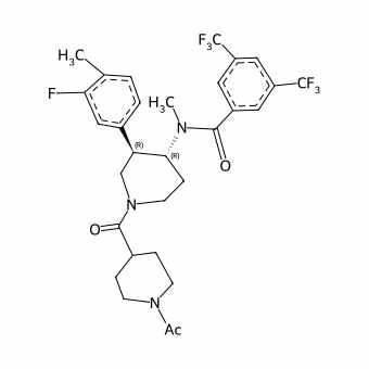 CC(=O)N1CCC(C(=O)N2CC[C@@H](N(C)C(=O)c3cc(C(F)(F)F)cc(C(F)(F)F)c3)[C@H](c3ccc(C)c(F)c3)C2)CC1